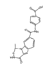 CC1CNC(=O)c2cc3ccc(C(=O)Nc4ccc(C(=O)O)cc4)cc3n21